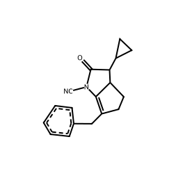 N#CN1C(=O)C(C2CC2)C2CCC(Cc3ccccc3)=C21